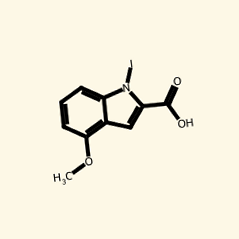 COc1cccc2c1cc(C(=O)O)n2I